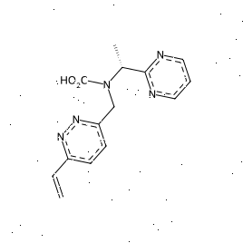 C=Cc1ccc(CN(C(=O)O)[C@H](C)c2ncccn2)nn1